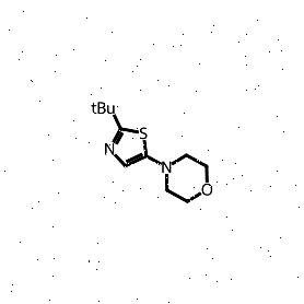 CC(C)(C)c1ncc(N2CCOCC2)s1